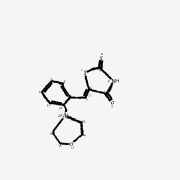 O=C1NC(=S)S/C1=C\c1ccccc1N1CCOCC1